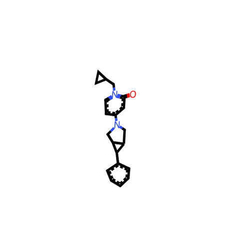 O=c1cc(N2CC3C(C2)C3c2ccccc2)ccn1CC1CC1